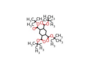 CC(C)(C)OC(=O)C1CC(C(=O)OC(C)(C)C)C(C(=O)OC(C)(C)C)CC1C(=O)OC(C)(C)C